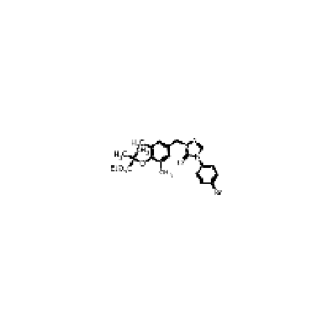 CCOC(=O)C(C)(C)Oc1c(C)cc(Cn2ncn(-c3ccc(Br)cc3)c2=O)cc1C